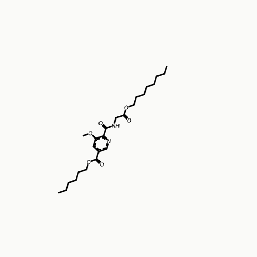 CCCCCCCCOC(=O)CNC(=O)c1ncc(C(=O)OCCCCCC)cc1OC